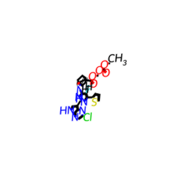 CCOC(=O)OCOC(=O)[C@@H]1C2CCC(CC2)[C@H]1Nc1nc(-c2c[nH]c3ncc(Cl)nc23)nc(-c2cccs2)c1F